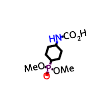 COP(=O)(OC)C1CCC(NC(=O)O)CC1